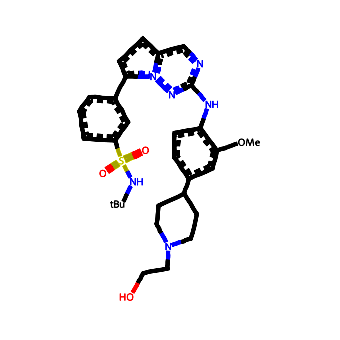 COc1cc(C2CCN(CCO)CC2)ccc1Nc1ncc2ccc(-c3cccc(S(=O)(=O)NC(C)(C)C)c3)n2n1